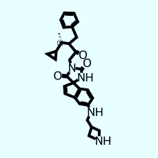 C[C@@H](C1CC1)C(Cc1ccccc1)C(=O)CN1C(=O)NC2(C=Cc3cc(NCC4CNC4)ccc32)C1=O